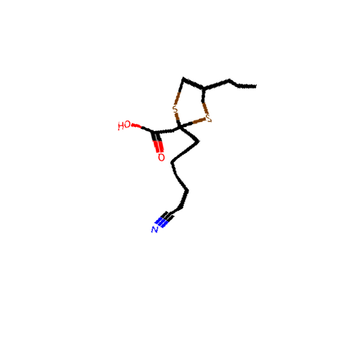 CCC1CSC(CCCC#N)(C(=O)O)S1